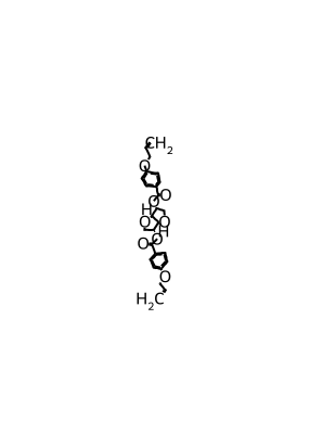 C=CCOc1ccc(C(=O)O[C@@H]2CO[C@H]3[C@@H]2OC[C@H]3OC(=O)c2ccc(OCC=C)cc2)cc1